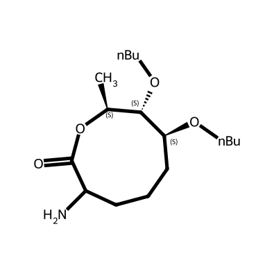 CCCCO[C@H]1[C@H](C)OC(=O)C(N)CCC[C@@H]1OCCCC